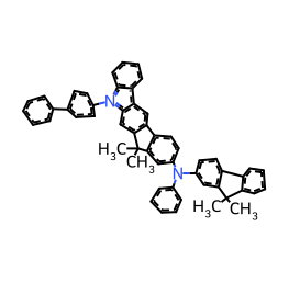 CC1(C)c2ccccc2-c2ccc(N(c3ccccc3)c3ccc4c(c3)C(C)(C)c3cc5c(cc3-4)c3ccccc3n5-c3ccc(-c4ccccc4)cc3)cc21